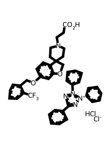 Cl.O=C(O)CCN1CCC2(CC1)COc1cc(OCc3ccccc3C(F)(F)F)ccc12.[Cl-].c1ccc(-c2nn(-c3ccccc3)[n+](-c3ccccc3)n2)cc1